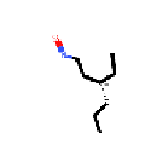 CCC[C@@H](CC)CCN=O